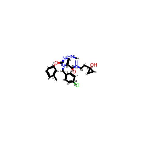 CNc1nc(Oc2cccc(C)c2)n(Cc2ccc(Cl)cc2)c1C(=O)NCCC1(O)CC1